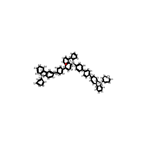 C1=CCC(N(c2ccc(-c3ccc(C4=CC=C5C(C=C4)c4ccccc4N5C4=CCOCC=C4)cc3)cc2)c2ccc(-c3ccc(-c4ccc5c(c4)c4c(n5-c5ccccc5)C=CCC4)cc3)cc2)C(c2ccccc2)=C1